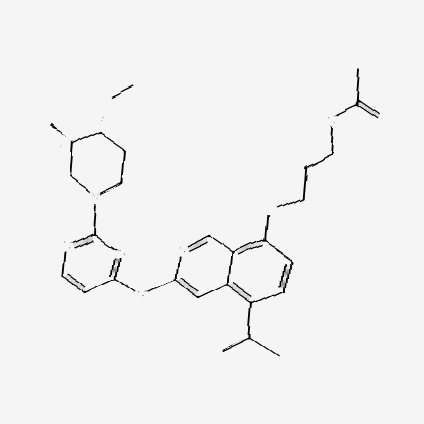 CO[C@@H]1CCN(c2nccc(Nc3cc4c(C(C)C)ccc(OCCCNC(C)=O)c4cn3)n2)C[C@H]1O